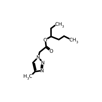 CCCC(CC)OC(=O)Cn1cc(C)nn1